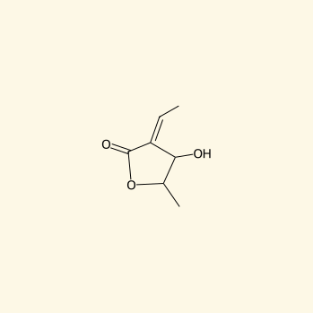 C/C=C1/C(=O)OC(C)C1O